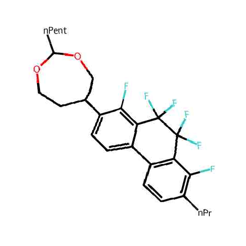 CCCCCC1OCCC(c2ccc3c(c2F)C(F)(F)C(F)(F)c2c-3ccc(CCC)c2F)CO1